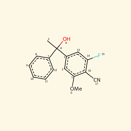 COc1cc(C(C)(O)c2ccccc2)cc(F)c1C#N